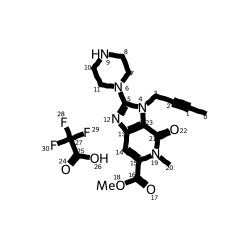 CC#CCn1c(N2CCNCC2)nc2cc(C(=O)OC)n(C)c(=O)c21.O=C(O)C(F)(F)F